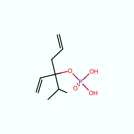 C=CCC(C=C)(OP(=O)(O)O)C(C)C